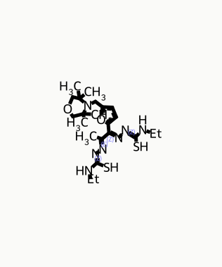 CCN/C(S)=N/N=C(/C(C)=N/N=C(\S)NCC)c1ccc(CN2C(C)(C)COCC2(C)C)o1